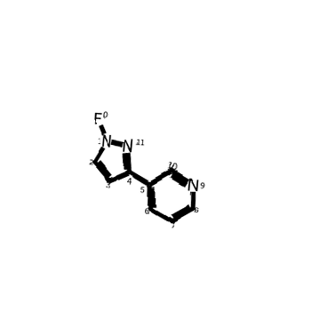 Fn1ccc(-c2cccnc2)n1